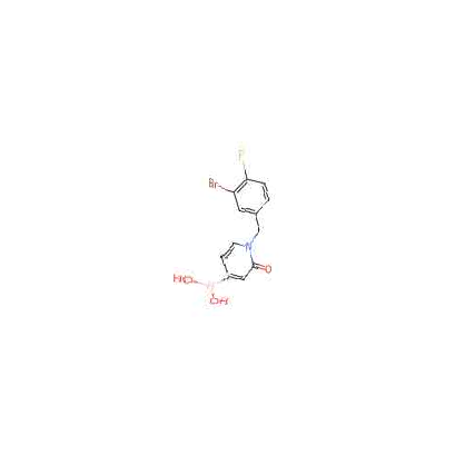 O=c1cc(B(O)O)ccn1Cc1ccc(F)c(Br)c1